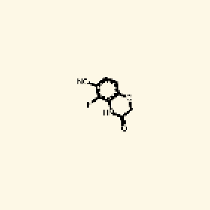 N#Cc1ccc2c(c1F)NC(=O)CO2